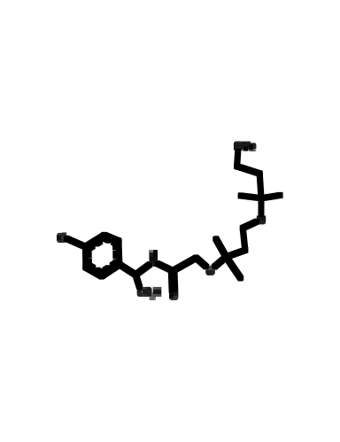 COCCC(C)(C)OCCC(C)(C)OCC(=O)NC(C(=O)O)c1ccc(Cl)cc1